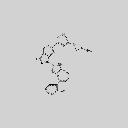 NC1CN(c2cncc(-c3ccc4[nH]nc(-c5nc6c(-c7ccccc7F)cccc6[nH]5)c4n3)n2)C1